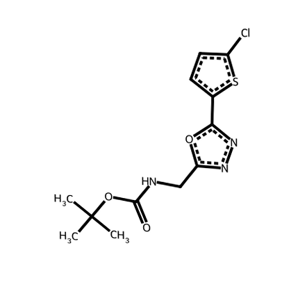 CC(C)(C)OC(=O)NCc1nnc(-c2ccc(Cl)s2)o1